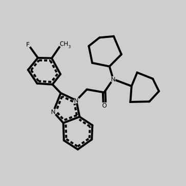 Cc1cc(-c2nc3ccccc3n2CC(=O)N(C2CCCCC2)C2CCCCC2)ccc1F